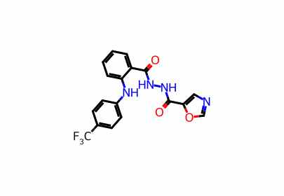 O=C(NNC(=O)c1ccccc1Nc1ccc(C(F)(F)F)cc1)c1cnco1